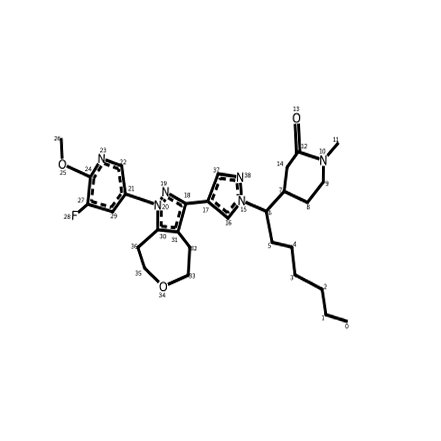 CCCCCCC(C1CCN(C)C(=O)C1)n1cc(-c2nn(-c3cnc(OC)c(F)c3)c3c2CCOCC3)cn1